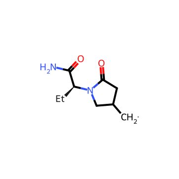 [CH2]C1CC(=O)N([C@@H](CC)C(N)=O)C1